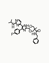 CC(C)Nc1nccc(-c2[nH]c(C3OCC(C)(C(=O)NCc4ccccc4)CO3)nc2-c2ccc(F)cc2)n1